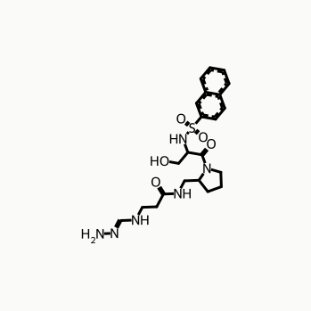 NN=CNCCC(=O)NCC1CCCN1C(=O)C(CO)NS(=O)(=O)c1ccc2ccccc2c1